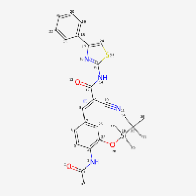 CC(=O)Nc1ccc(/C=C(\C#N)C(=O)Nc2nc(-c3ccccc3)cs2)cc1O[Si](C)(C)C(C)(C)C